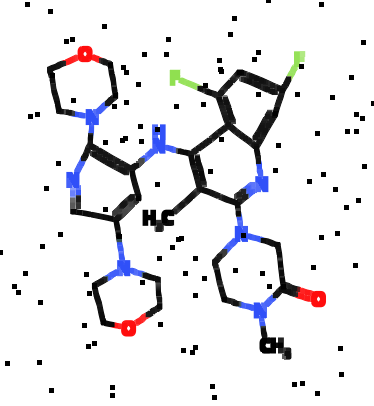 Cc1c(N2CCN(C)C(=O)C2)nc2cc(F)cc(F)c2c1Nc1cc(N2CCOCC2)cnc1N1CCOCC1